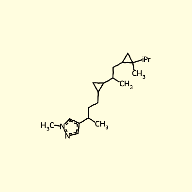 CC(CCC1CC1C(C)CC1CC1(C)C(C)C)c1cnn(C)c1